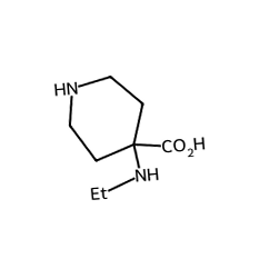 CCNC1(C(=O)O)CCNCC1